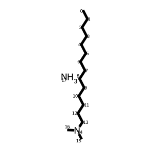 CCCCCCCCCCCCCCN(C)C.N